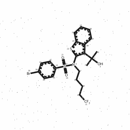 CC(C)(O)c1c(N(CCCCC(F)(F)F)S(=O)(=O)c2ccc(Br)cc2)sc2ccccc12